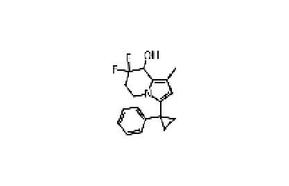 Cc1cc(C2(c3ccccc3)CC2)n2c1C(O)C(F)(F)CC2